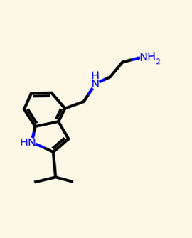 CC(C)c1cc2c(CNCCN)cccc2[nH]1